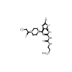 CCOC(=O)CCNC(=O)Nc1nc(N2CCN(C(=O)CC(F)(F)F)CC2)c2cc(CC)sc2n1